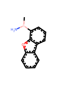 CB(N)c1cccc2c1oc1ccccc12